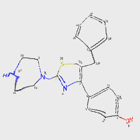 Oc1ccc(-c2nc(N3CCNCC3)sc2Cc2ccccc2)cc1